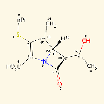 CCCSC1=C(C(=O)O)N2C(=O)[C@H]([C@@H](C)O)[C@H]2[C@H]1C